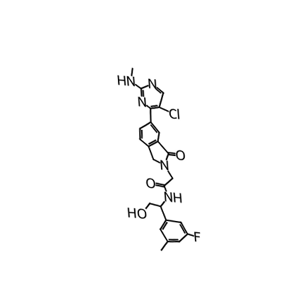 CNc1ncc(Cl)c(-c2ccc3c(c2)C(=O)N(CC(=O)NC(CO)c2cc(C)cc(F)c2)C3)n1